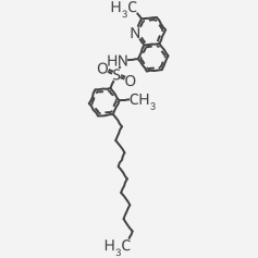 CCCCCCCCCCc1cccc(S(=O)(=O)Nc2cccc3ccc(C)nc23)c1C